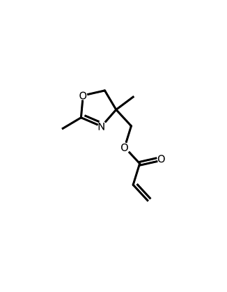 C=CC(=O)OCC1(C)COC(C)=N1